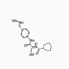 CC(C)(C)NSc1ccc(NC(=O)[C@H](CO)NC(=O)C2CCCCC2)cc1